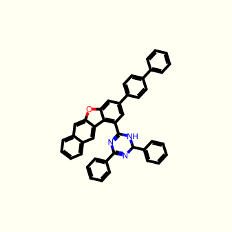 c1ccc(C2=NC(c3ccccc3)NC(c3cc(-c4ccc(-c5ccccc5)cc4)cc4oc5cc6ccccc6cc5c34)=N2)cc1